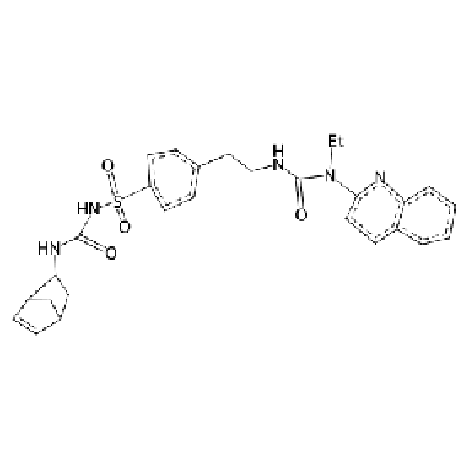 CCN(C(=O)NCCc1ccc(S(=O)(=O)NC(=O)NC2CC3C=CC2C3)cc1)c1ccc2ccccc2n1